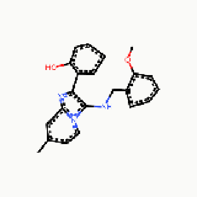 COc1ccccc1CNc1c(-c2ccccc2O)nc2cc(C)ccn12